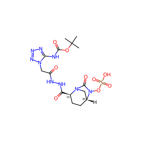 CC(C)(C)OC(=O)Nc1nnnn1CC(=O)NNC(=O)[C@@H]1CC[C@@H]2CN1C(=O)N2OS(=O)(=O)O